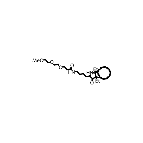 CCC12NC(CCCCNC(=O)CCOCCOCCOC)C(=O)C1(CC)c1cccccccc2c1